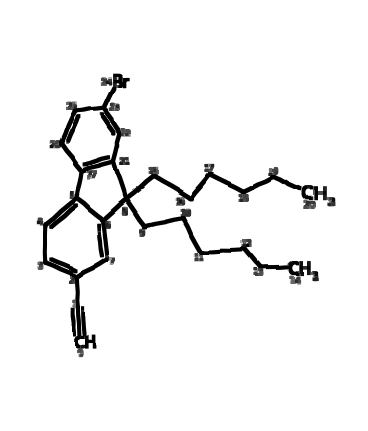 C#Cc1ccc2c(c1)C(CCCCCC)(CCCCCC)c1cc(Br)ccc1-2